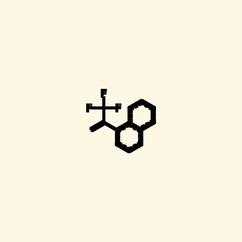 C=C(c1cccc2ccccc12)C(F)(F)F